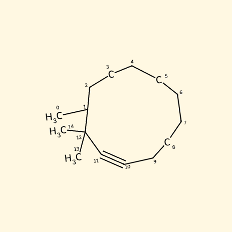 CC1CCCCCCCCC#CC1(C)C